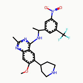 COc1cc2nc(C)nc(NC(C)c3cc([N+](=O)[O-])cc(C(F)(F)F)c3)c2cc1C1CCNCC1